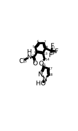 O=C(NCl)c1cccc(C(F)(F)F)c1COc1ccn(O)n1